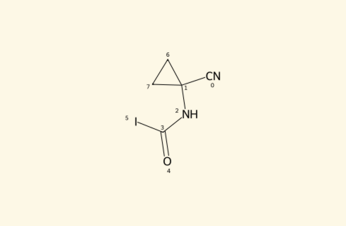 N#CC1(NC(=O)I)CC1